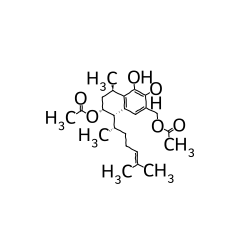 CC(=O)OCc1cc2c(c(O)c1O)[C@H](C)C[C@@H](OC(C)=O)[C@H]2[C@@H](C)CCC=C(C)C